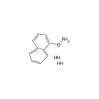 POc1cccc2ccccc12.[HH].[HH]